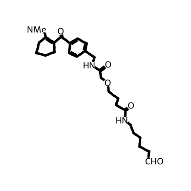 CNC1=C(C(=O)c2ccc(CNC(=O)COCCCC(=O)NCCCCCC=O)cc2)CCCC1